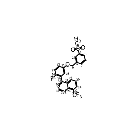 CS(=O)(=O)c1cccc(COc2ccc(F)c(-c3ncnc4c(C(F)(F)F)cccc34)c2)c1